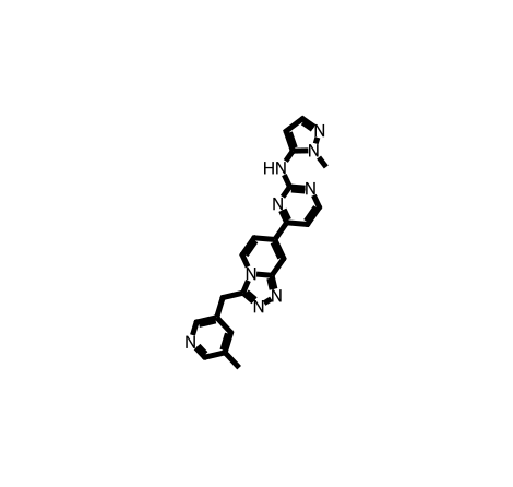 Cc1cncc(Cc2nnc3cc(-c4ccnc(Nc5ccnn5C)n4)ccn23)c1